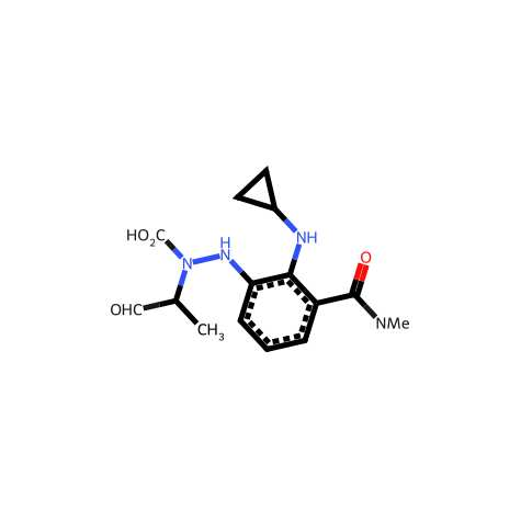 CNC(=O)c1cccc(NN(C(=O)O)C(C)C=O)c1NC1CC1